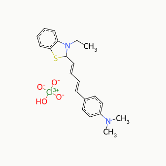 CCN1c2ccccc2SC1C=CC=Cc1ccc(N(C)C)cc1.[O-][Cl+3]([O-])([O-])O